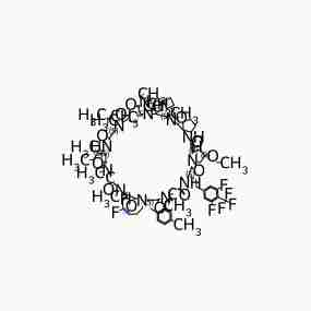 CCO[C@@H]1C[C@@H]2C(=O)NC3(CCCC3)C(=O)N(C)[C@@H](C3CCC3)C(=O)N(C)[C@H](C(=O)N(C)C)CC(=O)N(C)[C@@H](CC(C)C)C(=O)N[C@@H]([C@@H](C)CC)C(=O)N(C)CC(=O)N(C)[C@H]3C/C(F)=C\CCN(C3=O)[C@@H](Cc3ccc(C)cc3)C(=O)N(C)CC(=O)N[C@@H](CCc3cc(F)c(C(F)(F)F)c(F)c3)C(=O)N2C1